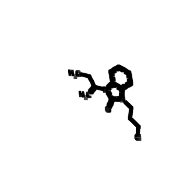 C=C(CC)n1c(=O)n(CCCCl)c2ccccc21